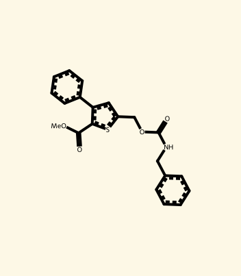 COC(=O)c1sc(COC(=O)NCc2ccccc2)cc1-c1ccccc1